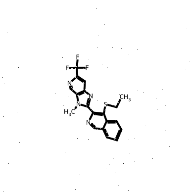 CCSc1c(-c2nc3cc(C(F)(F)F)ncc3n2C)ncc2ccccc12